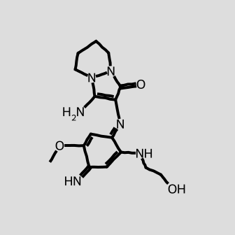 COC1=CC(=Nc2c(N)n3n(c2=O)CCCC3)C(NCCO)=CC1=N